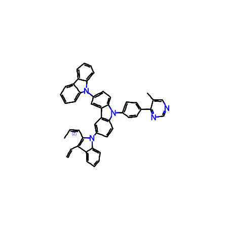 C=Cc1c(/C=C\C)n(-c2ccc3c(c2)c2cc(-n4c5ccccc5c5ccccc54)ccc2n3-c2ccc(-c3ncncc3C)cc2)c2ccccc12